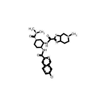 CN1CCC2N=C(C(=O)N[C@@H]3C[C@@H](C(=O)N(C)C)CC[C@@H]3NC(=O)c3cc4ccc(Cl)cc4cn3)SC2C1